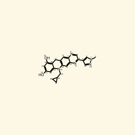 Cn1cc(-c2cnc3cc4c(cc3n2)N(CC2CC2)c2cc(O)cc(O)c2C4)cn1